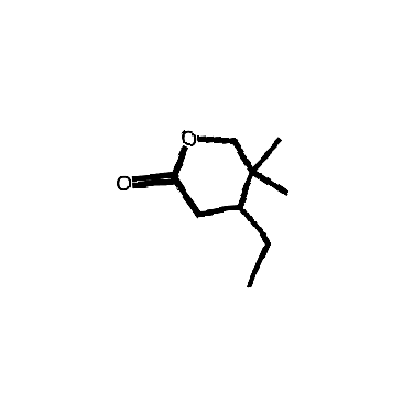 CCC1CC(=O)OCC1(C)C